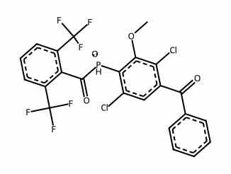 COc1c(Cl)c(C(=O)c2ccccc2)cc(Cl)c1[PH](=O)C(=O)c1c(C(F)(F)F)cccc1C(F)(F)F